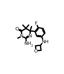 CN1C(=O)C(C)(C)C(C)(c2cc(NC3COC3)ccc2F)N=C1N